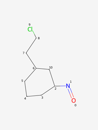 O=NC1CCCC(CCCl)C1